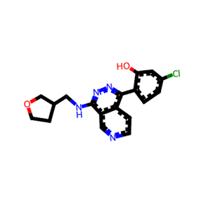 Oc1cc(Cl)ccc1-c1nnc(NCC2CCOC2)c2cnccc12